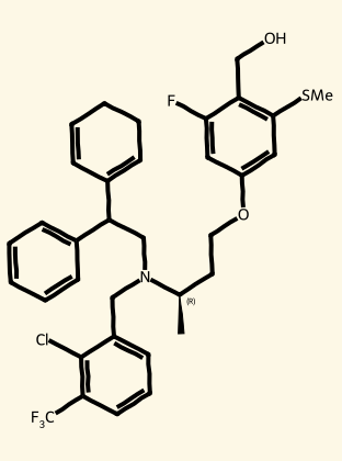 CSc1cc(OCC[C@@H](C)N(Cc2cccc(C(F)(F)F)c2Cl)CC(C2=CCCC=C2)c2ccccc2)cc(F)c1CO